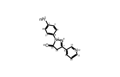 CCCc1ccc(N2N=C(c3cccnc3)CC2=O)cc1